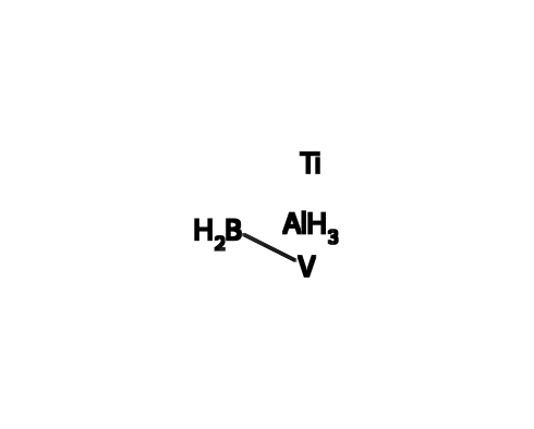 [AlH3].[BH2][V].[Ti]